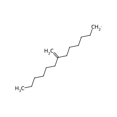 [CH2]CCCCCC(=C)CCCCCC